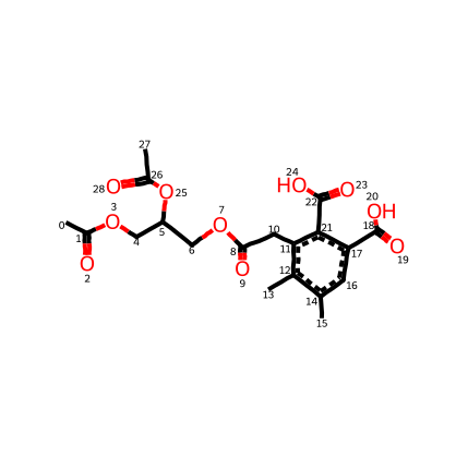 CC(=O)OCC(COC(=O)Cc1c(C)c(C)cc(C(=O)O)c1C(=O)O)OC(C)=O